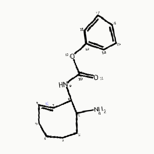 NC1CCCC/C=C/C1NC(=O)Oc1ccccc1